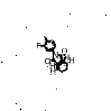 Cc1ccc(N2C(=O)[C@@H]3[C@H]4CC[C@H](C(=O)C4)[C@@H]3C2=O)cc1F